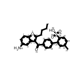 CCCCc1oc2ccc(N)cc2c1C(=O)c1ccc(-c2cc(C)ccc2S(=O)(=O)O)cc1